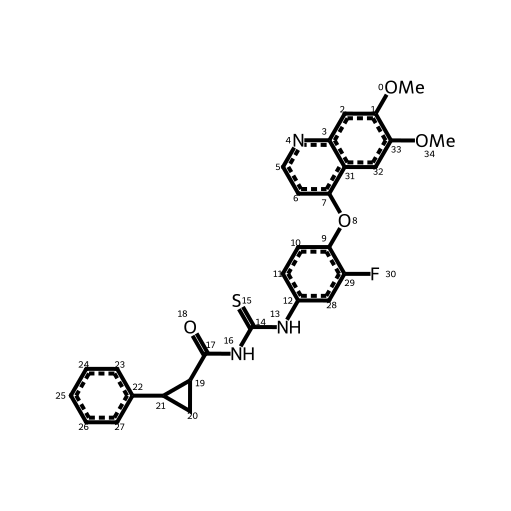 COc1cc2nccc(Oc3ccc(NC(=S)NC(=O)C4CC4c4ccccc4)cc3F)c2cc1OC